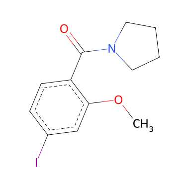 COc1cc(I)ccc1C(=O)N1CCCC1